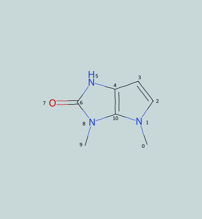 Cn1ccc2[nH]c(=O)n(C)c21